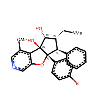 CNC[C@H]1[C@@H](O)[C@@]2(O)c3c(OC)cncc3O[C@@]2(c2ccc(Br)cc2)[C@@H]1c1ccccc1